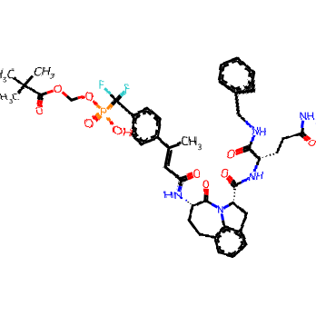 C/C(=C\C(=O)N[C@H]1CCc2cccc3c2N(C1=O)[C@H](C(=O)N[C@@H](CCC(N)=O)C(=O)NCc1ccccc1)C3)c1ccc(C(F)(F)P(=O)(O)OCOC(=O)C(C)(C)C)cc1